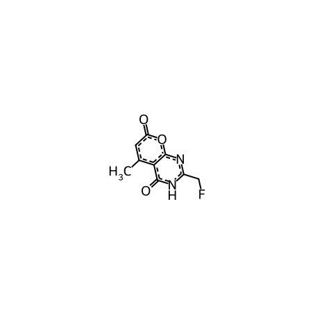 Cc1cc(=O)oc2nc(CF)[nH]c(=O)c12